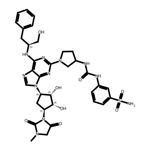 CN1CC(=O)N([C@H]2C[C@@H](n3cnc4c(N[C@H](CO)Cc5ccccc5)nc(N5CCC(NC(=O)Nc6cccc(S(N)(=O)=O)c6)C5)nc43)[C@H](O)[C@@H]2O)C1=O